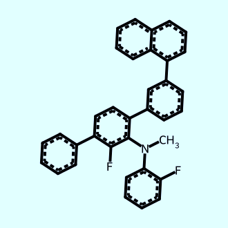 CN(c1ccccc1F)c1c(-c2cccc(-c3cccc4ccccc34)c2)ccc(-c2ccccc2)c1F